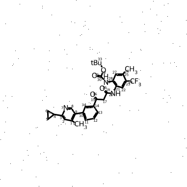 Cc1cc(C2CC2)ncc1-c1cccc(C(=O)CC(=O)Nc2cc(C(F)(F)F)c(C)cc2NC(=O)OC(C)(C)C)c1